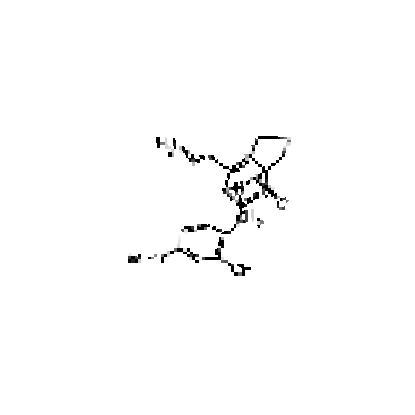 C=CCC1=C2CCCC23N=C(C)C1N(Cc1ccc(OC)cc1C)C3=O